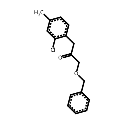 Cc1ccc(CC(=O)COCc2ccccc2)c(Cl)c1